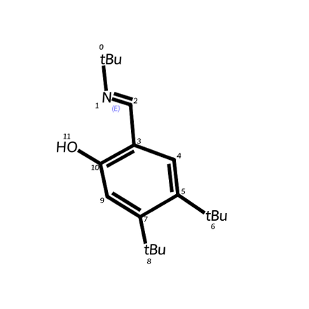 CC(C)(C)/N=C/c1cc(C(C)(C)C)c(C(C)(C)C)cc1O